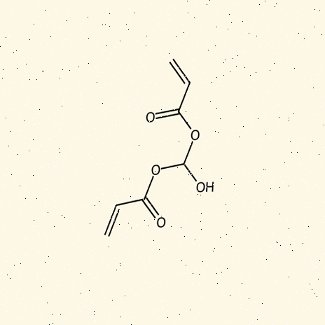 C=CC(=O)OC(O)OC(=O)C=C